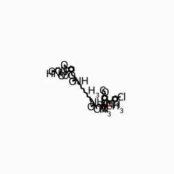 COc1ccc(-n2c(C)nnc2CC(C)C(=O)NCCCCCCCCCNC(=O)COc2cccc3c2C(=O)N(C2CCC(=O)NC2=O)C3=O)c(C(=N)c2ccc(Cl)cc2)c1